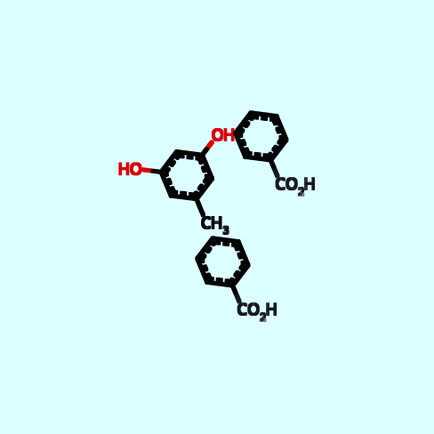 Cc1cc(O)cc(O)c1.O=C(O)c1ccccc1.O=C(O)c1ccccc1